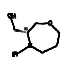 CC(C)N1CCCOC[C@H]1CO